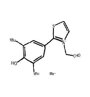 CC(C)(C)c1cc(-c2scc[n+]2CC=O)cc(C(C)(C)C)c1O.[Br-]